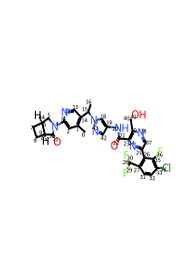 Cc1cc(N2C[C@H]3CC[C@H]3C2=O)ncc1C(C)n1cc(NC(=O)c2nc(-c3c(C(F)F)ccc(Cl)c3F)cnc2CO)cn1